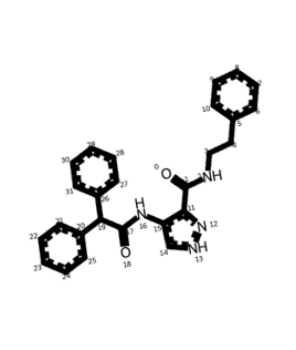 O=C(NCCc1ccccc1)c1n[nH]cc1NC(=O)C(c1ccccc1)c1ccccc1